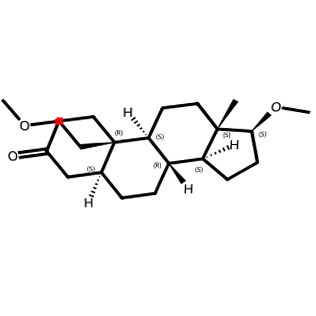 COCC[C@]12CCC(=O)C[C@@H]1CC[C@H]1[C@@H]3CC[C@H](OC)[C@@]3(C)CC[C@@H]12